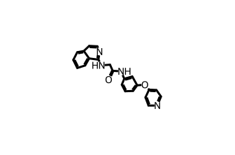 O=C(CNc1nccc2ccccc12)Nc1cccc(Oc2ccncc2)c1